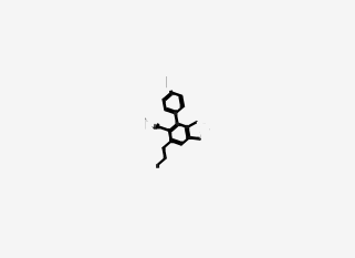 N#Cc1c(CCCI)cc2c(c1-c1ccc(F)cc1)COC2